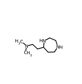 CN(C)CCC1CCNCCN1